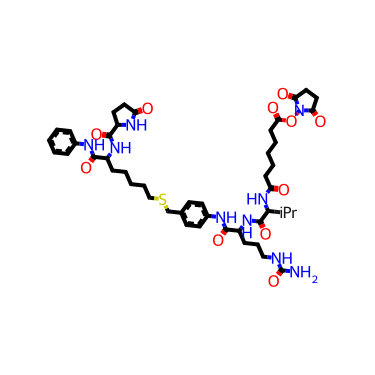 CC(C)C(NC(=O)CCCCCC(=O)ON1C(=O)CCC1=O)C(=O)NC(CCCNC(N)=O)C(=O)Nc1ccc(CSCCCCCC(NC(=O)C2CCC(=O)N2)C(=O)Nc2ccccc2)cc1